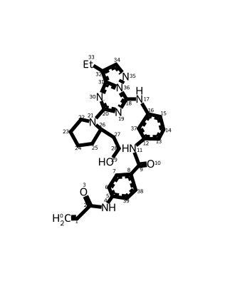 C=CC(=O)Nc1ccc(C(=O)Nc2cccc(Nc3nc(N4CCCCC4CCO)nc4c(CC)cnn34)c2)cc1